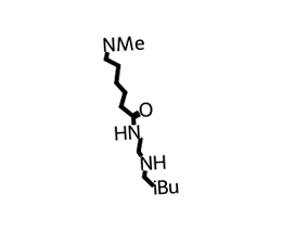 CCC(C)CNCCNC(=O)CCCCCNC